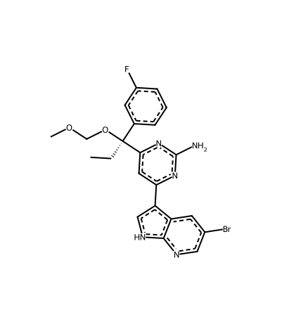 CC[C@](OCOC)(c1cccc(F)c1)c1cc(-c2c[nH]c3ncc(Br)cc23)nc(N)n1